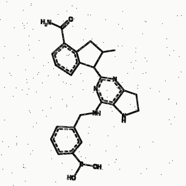 CC1Cc2c(C(N)=O)cccc2C1c1nc2c(c(NCc3cccc(B(O)O)c3)n1)NCC2